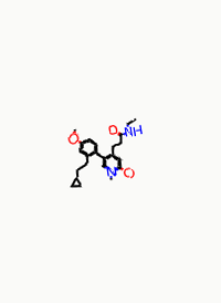 CCNC(=O)CCc1cc(=O)n(C)cc1-c1ccc(OC)cc1CCC1CC1